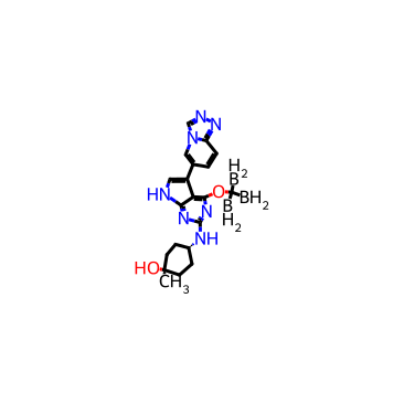 BC(B)(B)Oc1nc(N[C@H]2CC[C@@](C)(O)CC2)nc2[nH]cc(-c3ccc4nncn4c3)c12